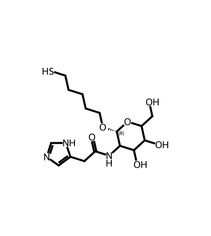 O=C(Cc1cnc[nH]1)NC1C(O)C(O)C(CO)O[C@H]1OCCCCCS